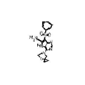 Nc1[nH]c2c(N3CCOC4(CC4)C3)ncnc2c1S(=O)(=O)c1ccccc1